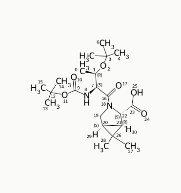 C[C@@H](OC(C)(C)C)[C@H](NC(=O)OC(C)(C)C)C(=O)N1C[C@H]2[C@@H]([C@H]1C(=O)O)C2(C)C